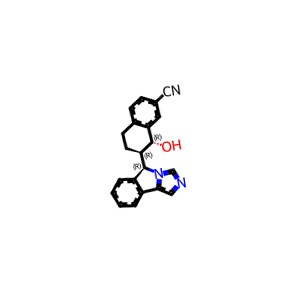 N#Cc1ccc2c(c1)[C@H](O)[C@@H]([C@@H]1c3ccccc3-c3cncn31)CC2